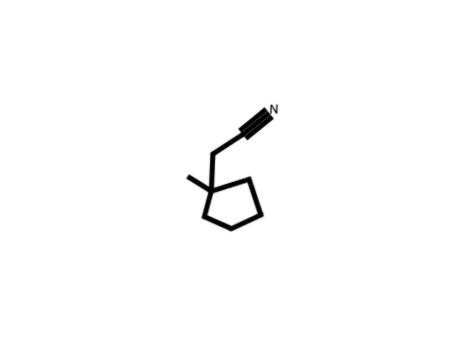 CC1(CC#N)CCCC1